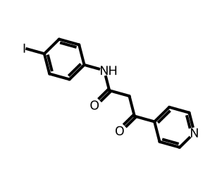 O=C(CC(=O)c1ccncc1)Nc1ccc(I)cc1